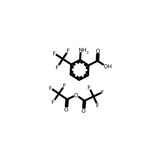 Nc1c(C(=O)O)cccc1C(F)(F)F.O=C(OC(=O)C(F)(F)F)C(F)(F)F